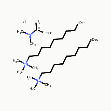 CCCCCCCCCCCCCCCCCC[N+](C)(C)C.CCCCCCCCCCCCCCCCCC[N+](C)(C)C.C[C@@H](C(=O)[O-])N(C)C.[Cl-]